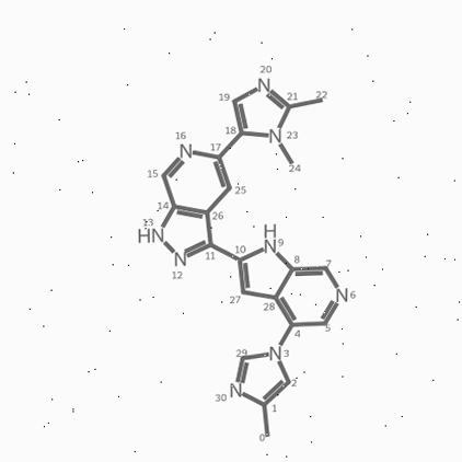 Cc1cn(-c2cncc3[nH]c(-c4n[nH]c5cnc(-c6cnc(C)n6C)cc45)cc23)cn1